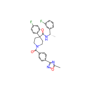 Cc1nc(-c2ccc(C(=O)N3CCC(C(=O)N[C@@H](C)c4cccc(F)c4)(c4ccc(F)cc4)CC3)cc2)no1